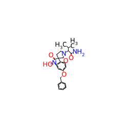 CC(C)C(C(N)=O)N1CCC2(C(=O)N(O)c3cc(OCc4ccccc4)ccc32)C1=O